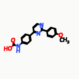 COc1ccc(-c2nccc(-c3ccc(NC(=O)O)cc3)n2)cc1